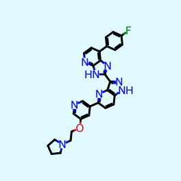 Fc1ccc(-c2ccnc3[nH]c(-c4n[nH]c5ccc(-c6cncc(OCCN7CCCC7)c6)nc45)nc23)cc1